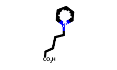 O=C(O)CCCC[n+]1ccccc1